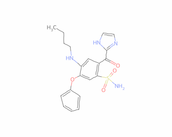 CCCCNc1cc(C(=O)c2ncc[nH]2)c(S(N)(=O)=O)cc1Oc1ccccc1